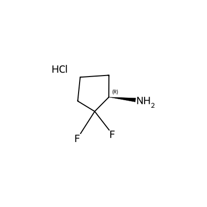 Cl.N[C@@H]1CCCC1(F)F